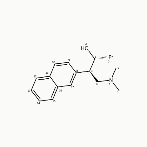 CC(C)[C@@H](O)[C@@H](CN(C)C)c1ccc2ccccc2c1